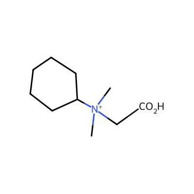 C[N+](C)(CC(=O)O)C1CCCCC1